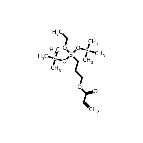 C=CC(=O)OCCC[Si](OCC)(O[Si](C)(C)C)O[Si](C)(C)C